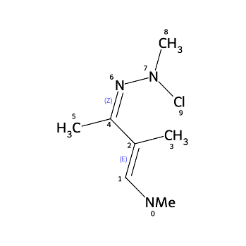 CN/C=C(C)/C(C)=N\N(C)Cl